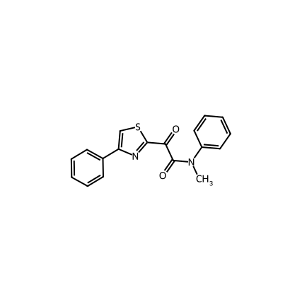 CN(C(=O)C(=O)c1nc(-c2ccccc2)cs1)c1ccccc1